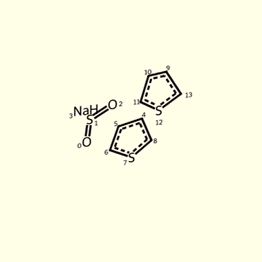 O=S=O.[NaH].c1ccsc1.c1ccsc1